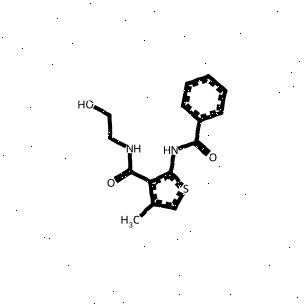 Cc1csc(NC(=O)c2ccccc2)c1C(=O)NCCO